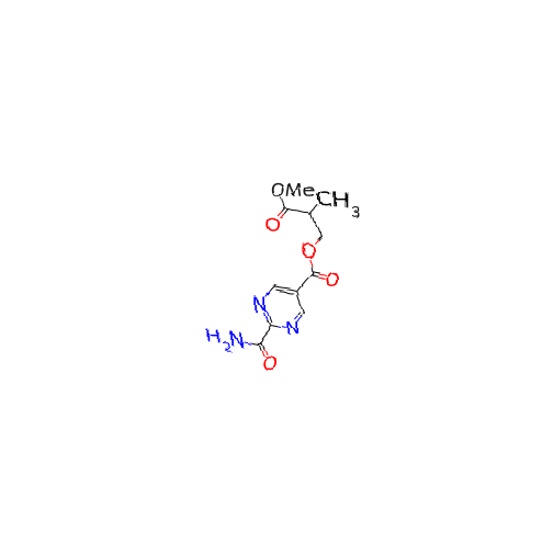 COC(=O)C(C)COC(=O)c1cnc(C(N)=O)nc1